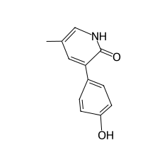 Cc1c[nH]c(=O)c(-c2ccc(O)cc2)c1